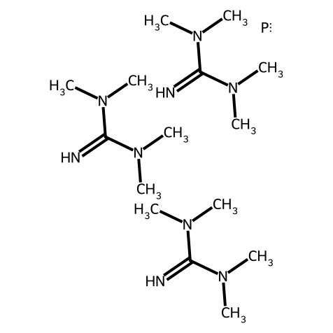 CN(C)C(=N)N(C)C.CN(C)C(=N)N(C)C.CN(C)C(=N)N(C)C.[P]